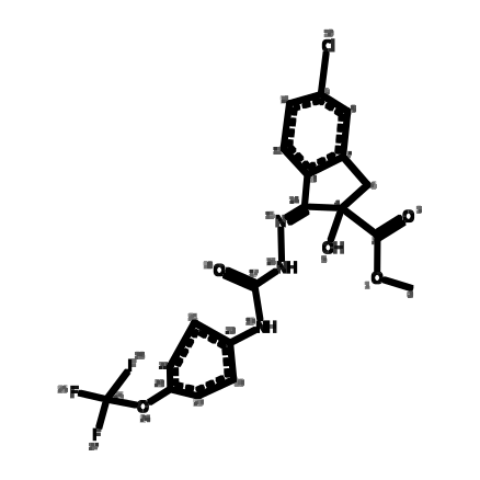 COC(=O)C1(O)Cc2cc(Cl)ccc2C1=NNC(=O)Nc1ccc(OC(F)(F)F)cc1